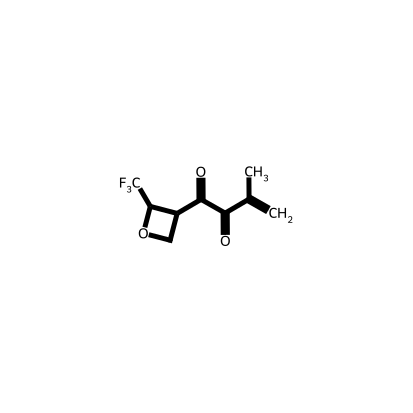 C=C(C)C(=O)C(=O)C1COC1C(F)(F)F